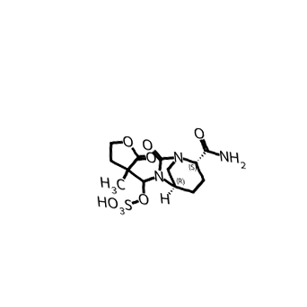 CC1(C(OS(=O)(=O)O)N2C(=O)N3C[C@H]2CC[C@H]3C(N)=O)CCOC1=O